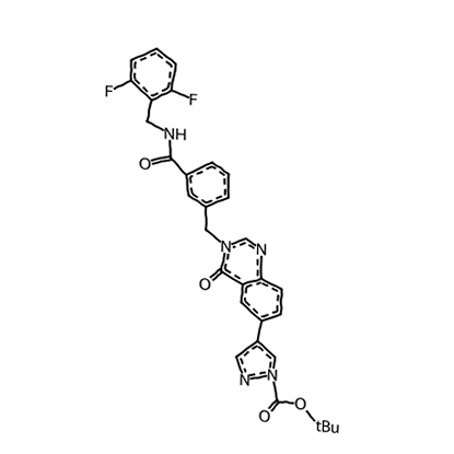 CC(C)(C)OC(=O)n1cc(-c2ccc3ncn(Cc4cccc(C(=O)NCc5c(F)cccc5F)c4)c(=O)c3c2)cn1